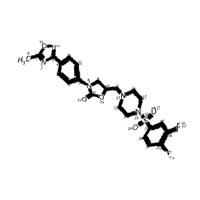 Cc1nc(-c2ccc(N3CC(CN4CCN(S(=O)(=O)c5ccc(F)c(F)c5)CC4)OC3=O)cc2)no1